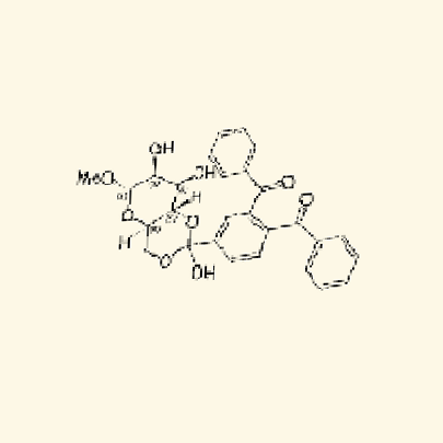 CO[C@H]1O[C@@H]2COC(O)(c3ccc(C(=O)c4ccccc4)c(C(=O)c4ccccc4)c3)O[C@H]2[C@H](O)[C@@H]1O